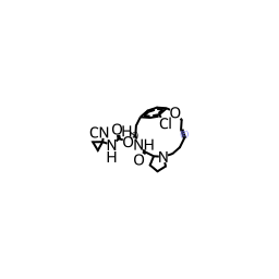 N#CC1(NC(=O)O[C@H]2Cc3ccc(c(Cl)c3)OC/C=C/CCN3CCCC3C(=O)N2)CC1